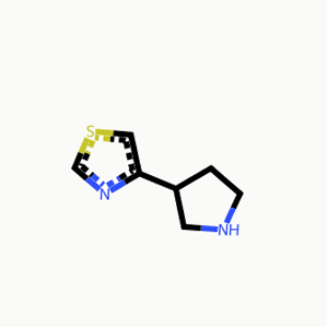 c1nc(C2CCNC2)cs1